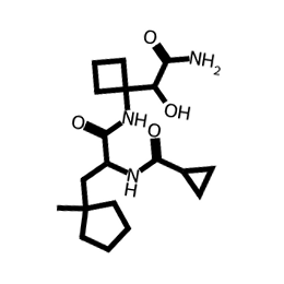 CC1(CC(NC(=O)C2CC2)C(=O)NC2(C(O)C(N)=O)CCC2)CCCC1